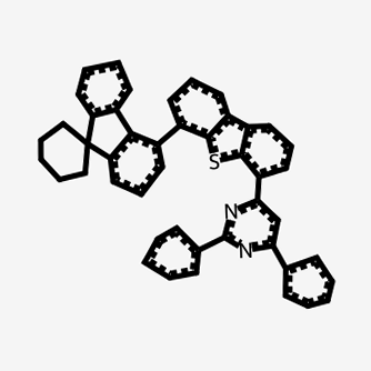 c1ccc(-c2cc(-c3cccc4c3sc3c(-c5cccc6c5-c5ccccc5C65CCCCC5)cccc34)nc(-c3ccccc3)n2)cc1